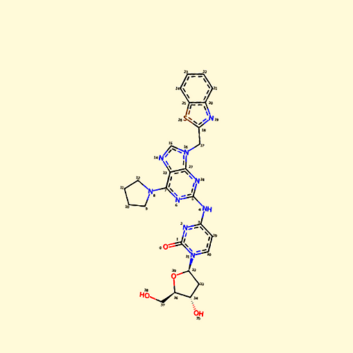 O=c1nc(Nc2nc(N3CCCC3)c3ncn(Cc4nc5ccccc5s4)c3n2)ccn1[C@H]1C[C@H](O)[C@@H](CO)O1